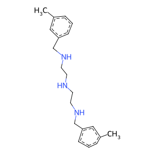 Cc1cccc(CNCCNCCNCc2cccc(C)c2)c1